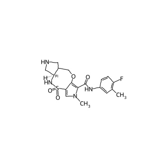 Cc1cc(NC(=O)c2c3c(cn2C)S(=O)(=O)N[C@H]2CNCC2CO3)ccc1F